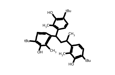 Cc1c(C(C)CC(c2ccc(C(C)(C)C)c(O)c2C)c2ccc(C(C)(C)C)c(O)c2C)ccc(C(C)(C)C)c1O